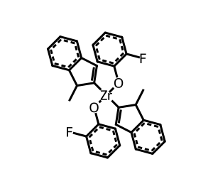 CC1[C]([Zr]([O]c2ccccc2F)([O]c2ccccc2F)[C]2=Cc3ccccc3C2C)=Cc2ccccc21